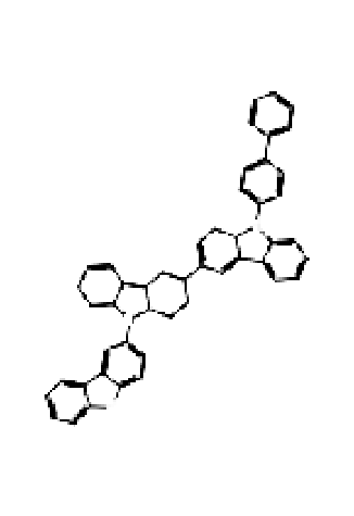 C1=CC2C3CC(C4=CCC5C(=C4)c4ccccc4N5c4ccc(-c5ccccc5)cc4)CCC3N(c3ccc4sc5ccccc5c4c3)C2CC1